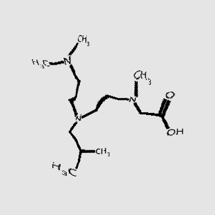 CC(C)CN(CCN(C)C)CCN(C)CC(=O)O